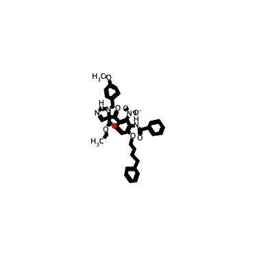 CCOC(=O)C1(C(=O)c2ccc(OCCCCc3ccccc3)c(NC(=O)c3ccccc3)c2[N+](=O)[O-])C=NNN1Cc1ccc(OC)cc1